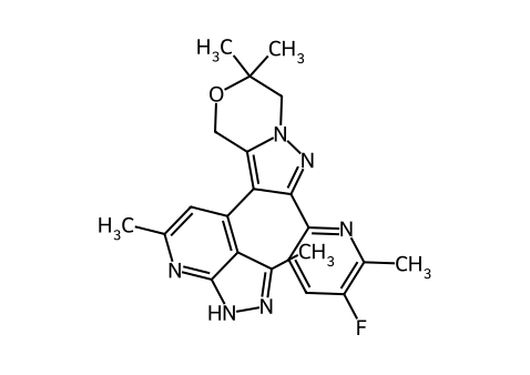 Cc1cc(-c2c(-c3ccc(F)c(C)n3)nn3c2COC(C)(C)C3)c2c(C)n[nH]c2n1